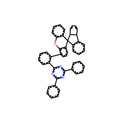 C1=CC2c3ccccc3C3(c4ccccc4Oc4c(-c5ccccc5-c5nc(-c6ccccc6)nc(-c6ccccc6)n5)cccc43)C2C=C1